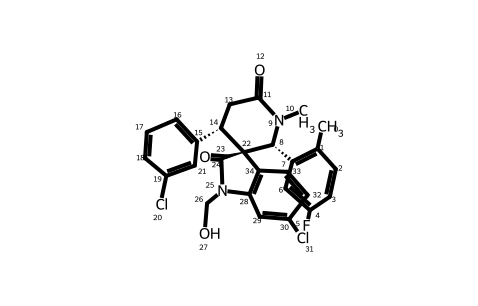 Cc1ccc(F)cc1[C@H]1N(C)C(=O)C[C@@H](c2cccc(Cl)c2)[C@]12C(=O)N(CO)c1cc(Cl)ccc12